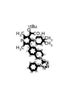 Cc1nc(C)c(C(OC(C)(C)C)C(=O)O)c(N2CCC(C)(C)CC2)c1-c1ccc2c(c1)CCN(c1nnnn1-c1ccccc1)C2